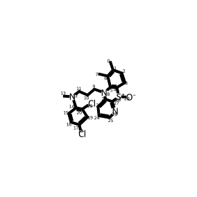 Cc1ccc2c(c1C)N(CCCN(C)c1ccc(Cl)cc1Cl)c1cccnc1[S+]2[O-]